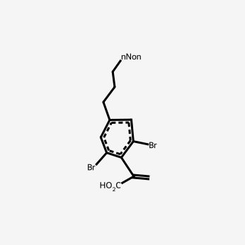 C=C(C(=O)O)c1c(Br)cc(CCCCCCCCCCCC)cc1Br